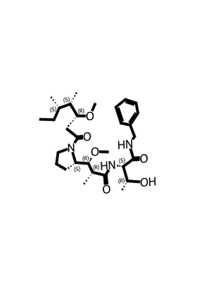 CC[C@H](C)[C@H](C)[C@@H](CC(=O)N1CCC[C@H]1[C@H](OC)[C@@H](C)C(=O)N[C@H](C(=O)NCc1ccccc1)[C@@H](C)O)OC